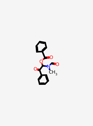 CN(C=O)C(OC(=O)c1ccccc1)C(=O)c1ccccc1